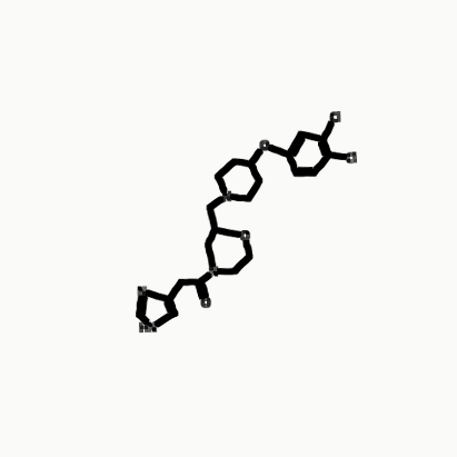 O=C(Cc1c[nH]cn1)N1CCOC(CN2CCC(Oc3ccc(Cl)c(Cl)c3)CC2)C1